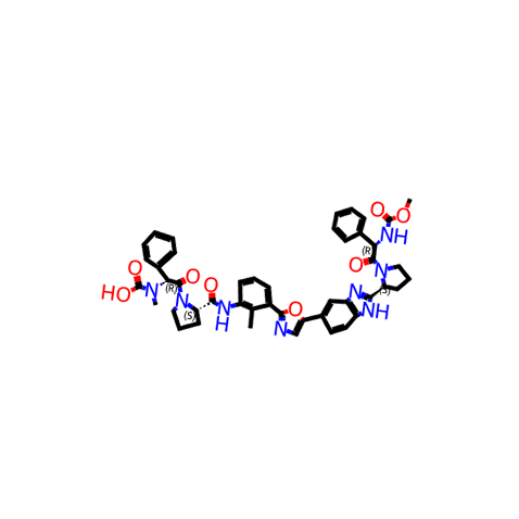 COC(=O)N[C@@H](C(=O)N1CCC[C@H]1c1nc2cc(-c3cnc(-c4cccc(NC(=O)[C@@H]5CCCN5C(=O)[C@@H](c5ccccc5)N(C)C(=O)O)c4C)o3)ccc2[nH]1)c1ccccc1